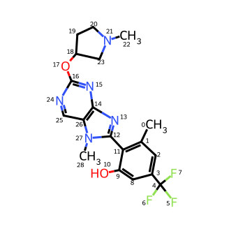 Cc1cc(C(F)(F)F)cc(O)c1-c1nc2nc(OC3CCN(C)C3)ncc2n1C